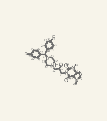 Cn1cnc2c1c(=O)n(CC(O)CN1CCN(C(c3ccc(F)cc3)c3ccc(F)cc3)CC1)c(=O)n2C